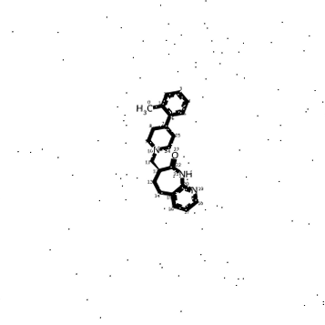 Cc1ccccc1C1CCN(C[C@@H]2CCc3cccnc3NC2=O)CC1